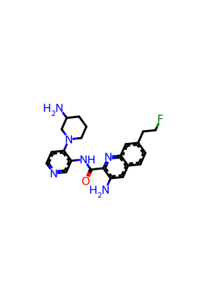 Nc1cc2ccc(CCF)cc2nc1C(=O)Nc1cnccc1N1CCCC(N)C1